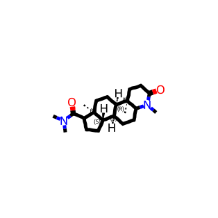 CN(C)C(=O)C1CC[C@H]2[C@@H]3CCC4N(C)C(=O)CC[C@]4(C)[C@@H]3CC[C@]12C